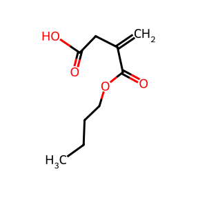 C=C(CC(=O)O)C(=O)OCCCC